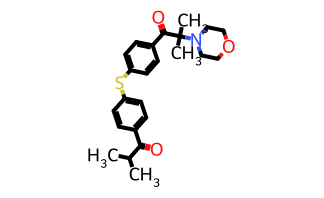 CC(C)C(=O)c1ccc(Sc2ccc(C(=O)C(C)(C)N3CCOCC3)cc2)cc1